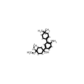 COC1(OC)CCC(O)(c2ccc(N)c(C3=CCC(C)(C)CC3)c2)CC1